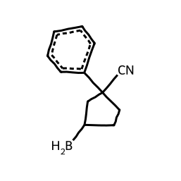 BC1CCC(C#N)(c2ccccc2)C1